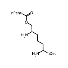 CCCCCCCCCCC(N)CCCC(N)COC(=O)CCCCC